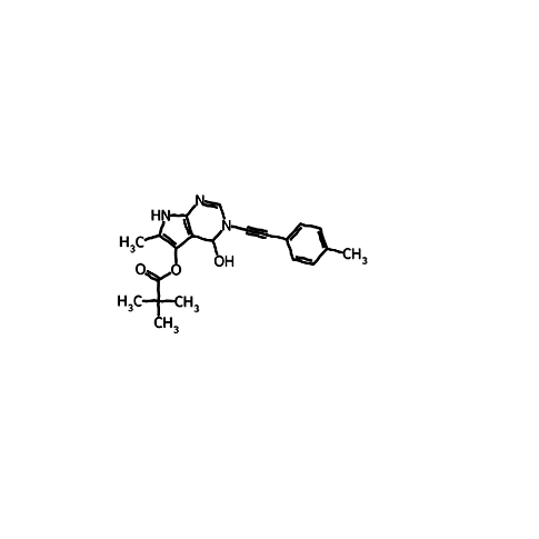 Cc1ccc(C#CN2C=Nc3[nH]c(C)c(OC(=O)C(C)(C)C)c3C2O)cc1